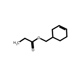 CCC(=O)OCC1CC=CCC1